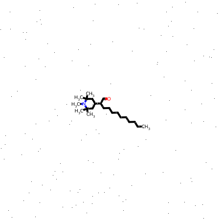 CCCCCCCCCCC(C=O)C1CC(C)(C)N(C)C(C)(C)C1